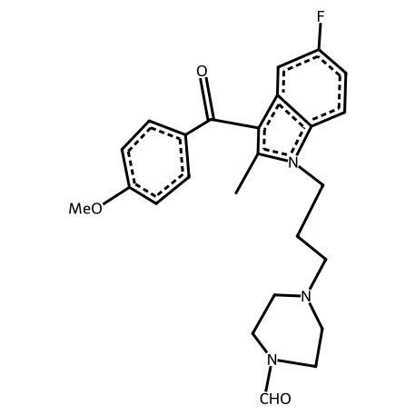 COc1ccc(C(=O)c2c(C)n(CCCN3CCN(C=O)CC3)c3ccc(F)cc23)cc1